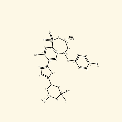 CN1CC(c2nnc(-c3cc4c(cc3F)S(=O)(=O)C[C@H](N)CN4Cc3ccc(Cl)cc3)o2)CC(F)(F)C1